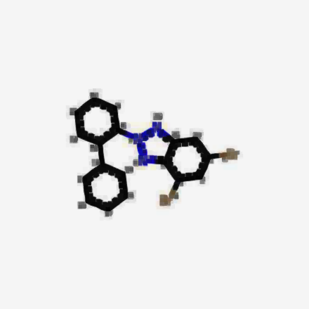 Brc1cc(Br)c2nn(-c3ccccc3-c3ccccc3)nc2c1